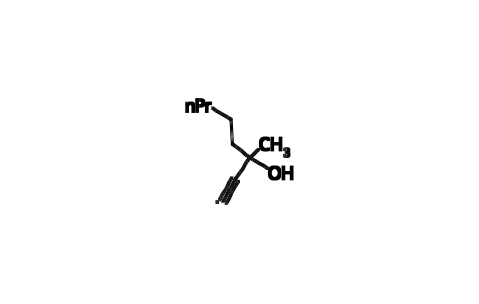 [C]#CC(C)(O)CCCCC